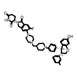 Cc1cccc([C@H]2COc3cc(O)ccc3[C@H]2c2ccc(N3CCC(CN4CCN(c5cc6c(cc5F)C(=O)N([C@H]5CCC(=O)NC5=O)C6)CC4)CC3)cc2)c1